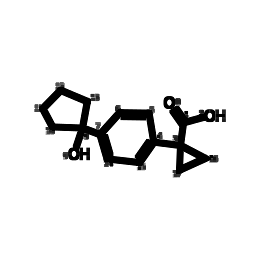 O=C(O)C1(c2ccc(C3(O)CCCC3)cc2)CC1